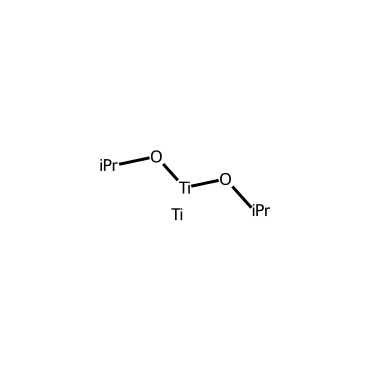 CC(C)[O][Ti][O]C(C)C.[Ti]